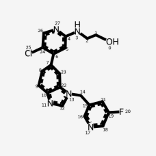 OCCNc1cc(-c2ccc3ncn(Cc4cncc(F)c4)c3c2)c(Cl)cn1